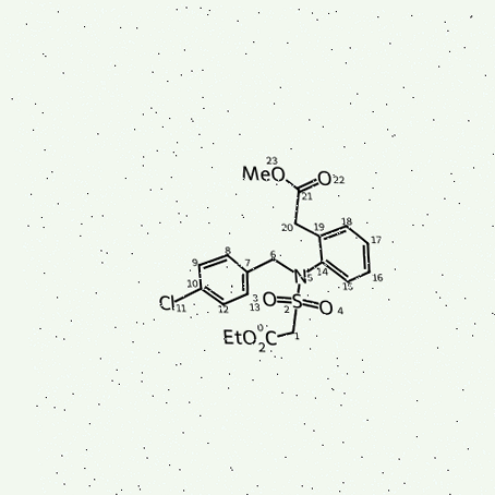 CCOC(=O)CS(=O)(=O)N(Cc1ccc(Cl)cc1)c1ccccc1CC(=O)OC